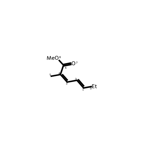 CCC=CC=C(C)C(=O)OC